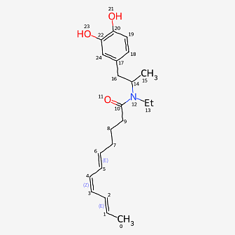 C/C=C/C=C\C=C\CCCC(=O)N(CC)C(C)Cc1ccc(O)c(O)c1